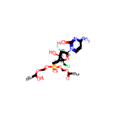 CC(C)(C)C(=O)OCOP(=O)(/C=C1\[C@@]2(CCl)O[C@@H](N3C=CC(N)=NC3O)[C@H](F)[C@@]12O)OCOC(O)C(C)(C)C